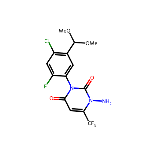 COC(OC)c1cc(-n2c(=O)cc(C(F)(F)F)n(N)c2=O)c(F)cc1Cl